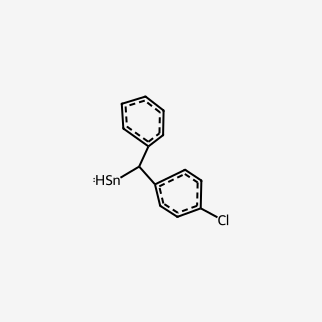 Clc1ccc([CH]([SnH])c2ccccc2)cc1